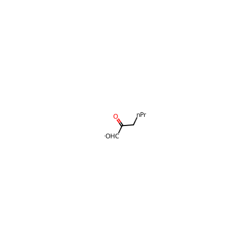 [CH2]CCCC(=O)[C]=O